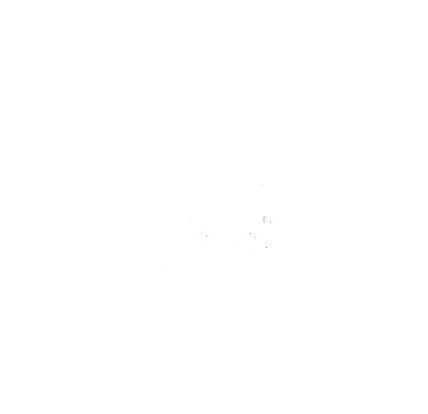 Cc1ccc(CNCC2(NC(=O)CNC(=O)c3cccc(C(F)(F)F)c3)CCCC2)c(C)c1